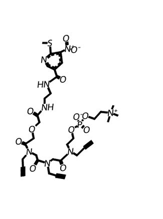 C#CCN(CCOP(=O)([O-])OCC[N+](C)(C)C)C(=O)CN(CC#C)C(=O)CN(CC#C)C(=O)COCC(=O)NCCNC(=O)c1cnc(SC)c([N+](=O)[O-])c1